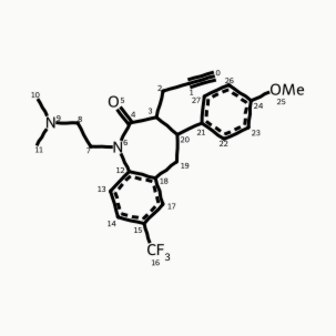 C#CCC1C(=O)N(CCN(C)C)c2ccc(C(F)(F)F)cc2CC1c1ccc(OC)cc1